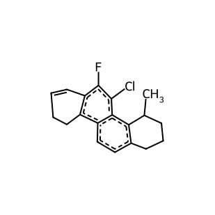 CC1CCCc2ccc3c4c(c(F)c(Cl)c3c21)C=CCC4